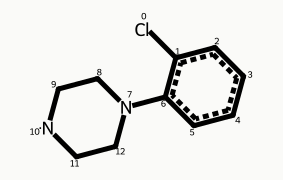 Clc1ccccc1N1CC[N]CC1